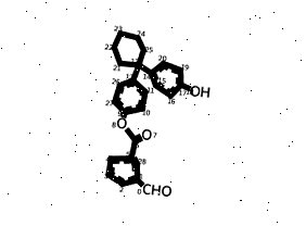 O=Cc1cccc(C(=O)Oc2ccc(C3(c4ccc(O)cc4)CCCCC3)cc2)c1